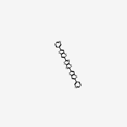 c1ncc(-c2cc3sc(-c4nc5sc(-c6cc7sc(-c8cncnc8)cc7s6)nc5s4)cc3s2)cn1